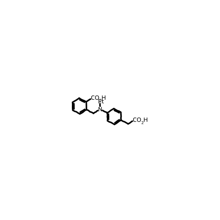 CCN(Cc1ccccc1C(=O)O)c1ccc(CC(=O)O)cc1